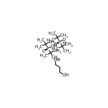 CC(C)(C)P(=O)(O)C(C)(C)C.CC(C)(C)P(=O)(O)C(C)(C)C.OCCCO